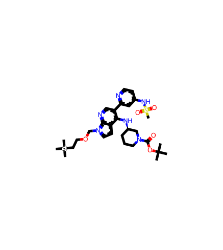 CC(C)(C)OC(=O)N1CCC[C@@H](Nc2c(-c3cc(NS(C)(=O)=O)ccn3)cnc3c2ccn3COCC[Si](C)(C)C)C1